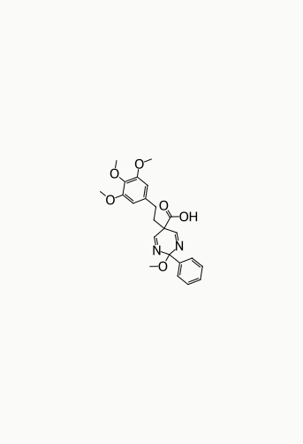 COc1cc(CCC2(C(=O)O)C=NC(OC)(c3ccccc3)N=C2)cc(OC)c1OC